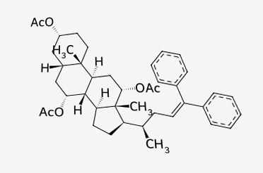 CC(=O)O[C@@H]1CC[C@@]2(C)[C@@H](C1)C[C@@H](OC(C)=O)[C@@H]1[C@@H]2C[C@H](OC(C)=O)[C@]2(C)[C@@H]([C@H](C)CC=C(c3ccccc3)c3ccccc3)CC[C@@H]12